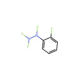 Fc1ccccc1N(F)N(F)F